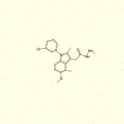 COc1ccc2c(c1C)c(CC(=O)NN)c(C)n2-c1cccc(Cl)c1